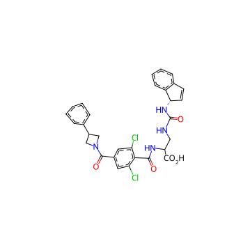 O=C(NCC(NC(=O)c1c(Cl)cc(C(=O)N2CC(c3ccccc3)C2)cc1Cl)C(=O)O)N[C@H]1C=Cc2ccccc21